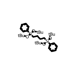 CC(C)(C)O[Si](CCCC[Si](OC(C)(C)C)(OC(C)(C)C)c1ccccc1)(OC(C)(C)C)c1ccccc1